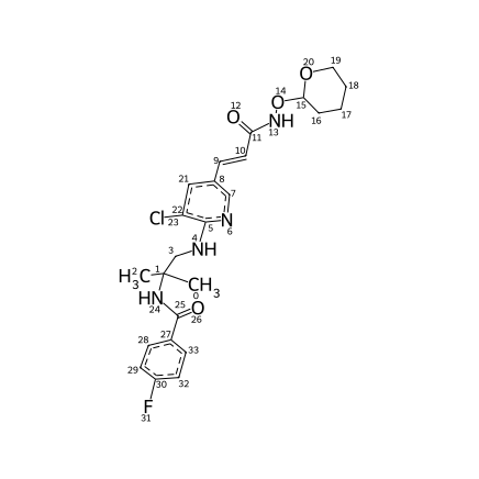 CC(C)(CNc1ncc(/C=C/C(=O)NOC2CCCCO2)cc1Cl)NC(=O)c1ccc(F)cc1